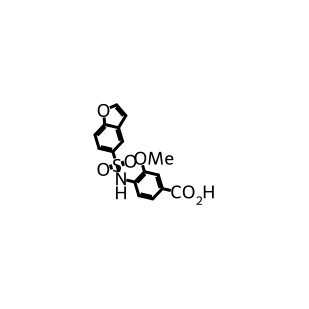 COc1cc(C(=O)O)ccc1NS(=O)(=O)c1ccc2occc2c1